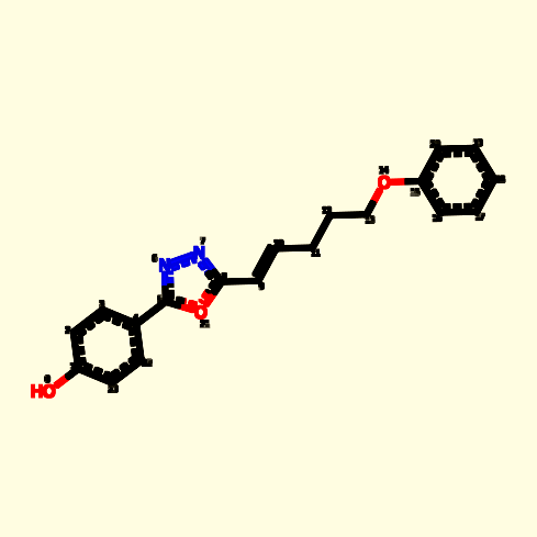 Oc1ccc(-c2nnc(/C=C/CCCOc3ccccc3)o2)cc1